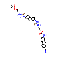 C=C(C)C(=O)OCCCNC(=S)Nc1ccc2c(c1)Cc1cc(NC(=S)NCCCOC(=O)Nc3ccc4c(c3)Cc3cc(C#N)ccc3-4)ccc1-2